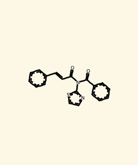 O=C(C=Cc1ccccc1)N(C(=O)c1ccccc1)c1nccs1